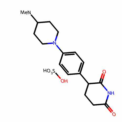 CNC1CCN(c2ccc(C3CCC(=O)NC3=O)cc2)CC1.O=S(=O)(O)O